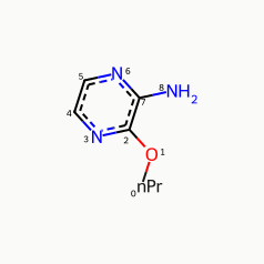 CCCOc1nccnc1N